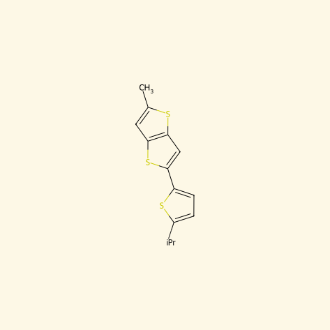 Cc1cc2sc(-c3ccc(C(C)C)s3)cc2s1